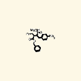 CO[PH](=O)C(Cc1ccc(N)cc1)C(CC(C)C)C(=O)OCc1ccccc1